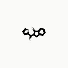 O=C(c1cccs1)C1Cc2ccccc2C1=O